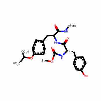 CCCCCNC(=O)[C@H](Cc1ccc(OC(C(=O)O)C(=O)O)cc1)NC(=O)[C@H](Cc1ccc(O)cc1)NC(=O)OC(C)(C)C